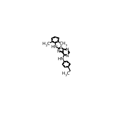 CCc1ccc(Nc2ncnc3sc(Nc4c(C)cccc4C)nc23)cc1